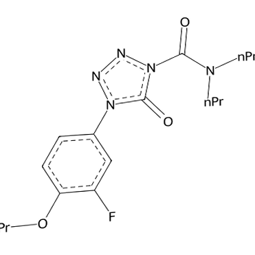 CCCN(CCC)C(=O)n1nnn(-c2ccc(OC(C)C)c(F)c2)c1=O